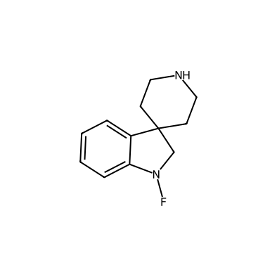 FN1CC2(CCNCC2)c2ccccc21